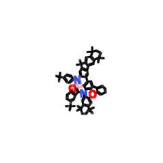 CC(C)(C)c1ccc(N2B3c4oc5ccc(C(C)(C)C)cc5c4N(c4ccc5c(c4)C(C)(C)CCC5(C)C)c4c3c(cc3c4oc4ccccc43)-c3cc4c(cc32)C(C)(C)c2cc3c(cc2-4)C(C)(C)CCC3(C)C)cc1